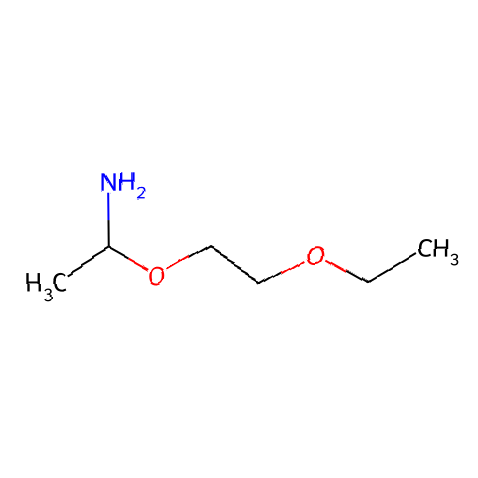 CCOCCOC(C)N